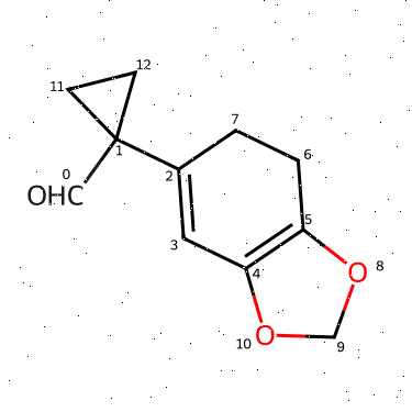 O=CC1(C2=CC3=C(CC2)OCO3)CC1